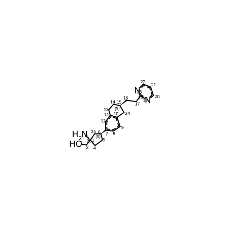 N[C@]1(CO)CC[C@H](c2ccc3c(c2)CC[C@@H](CCc2ncccn2)C3)C1